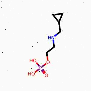 O=P(O)(O)OCCNCC1CC1